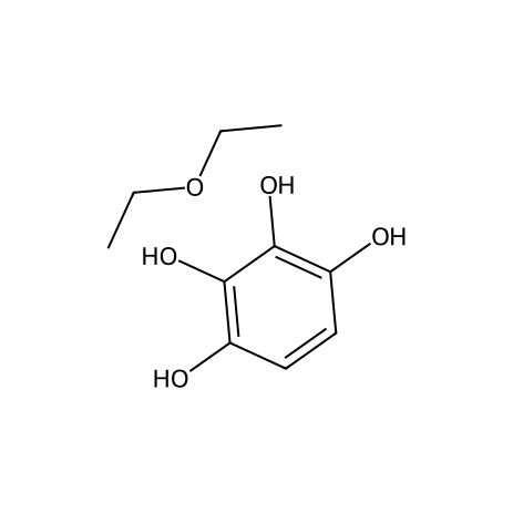 CCOCC.Oc1ccc(O)c(O)c1O